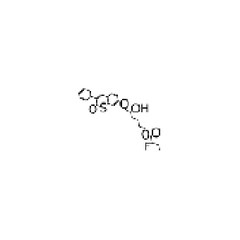 CCC(F)C(=O)OCCCCC(O)COC1=CC2SC(=O)C(c3ccccc3)=CC2C=C1